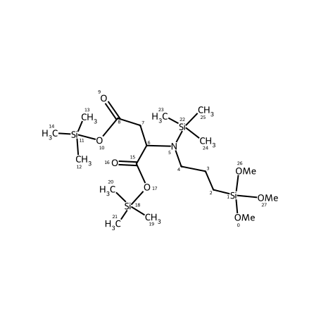 CO[Si](CCCN(C(CC(=O)O[Si](C)(C)C)C(=O)O[Si](C)(C)C)[Si](C)(C)C)(OC)OC